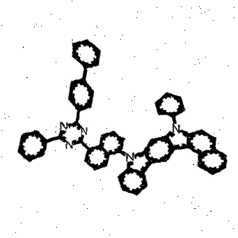 c1ccc(-c2ccc(-c3nc(-c4ccccc4)nc(-c4cccc5c(-n6c7ccccc7c7cc8c9c%10ccccc%10ccc9n(-c9ccccc9)c8cc76)cccc45)n3)cc2)cc1